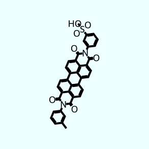 Cc1cccc(N2C(=O)c3ccc4c5ccc6c7c(ccc(c8ccc(c3c48)C2=O)c75)C(=O)N(c2cccc(S(=O)(=O)O)c2)C6=O)c1